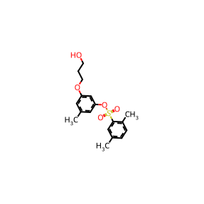 Cc1cc(OCCCO)cc(OS(=O)(=O)c2cc(C)ccc2C)c1